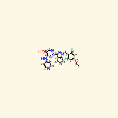 CCOc1cc(F)c(Cn2nc(-c3ncc(O)c(Nc4ccncc4)n3)c3c2CCC3)c(F)c1